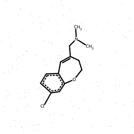 CN(C)CC1=Cc2ccc(Cl)cc2OCC1